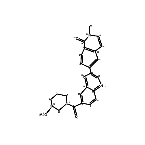 CO[C@H]1CCCN(C(=O)c2ccc3ncc(-c4ccc5c(=O)n(C)ccc5c4)nc3c2)C1